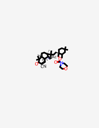 CC(=O)/C=C1/[C@@]2(C)C=C(C#N)C(=O)C(C)(C)[C@@H]2CC[C@@]1(C)C(C)(C)CC[C@@]1(COC(=O)N2CCOCC2)CCC(C)(C)CC1C